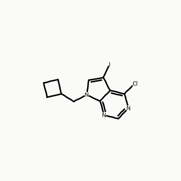 Clc1ncnc2c1c(I)cn2CC1CCC1